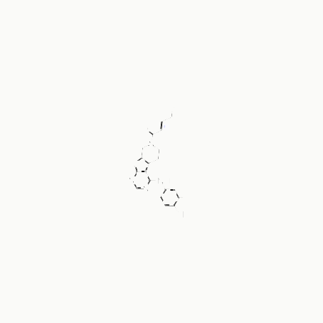 O=C(/C=C/CBr)N1CCc2c(sc3ncnc(Nc4ccc(Cl)c(Cl)c4)c23)C1